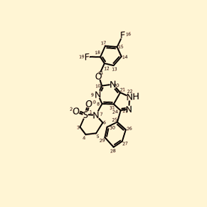 O=S1(=O)CCCCN1c1nc(Oc2ccc(F)cc2F)nc2[nH]nc(-c3ccccc3)c12